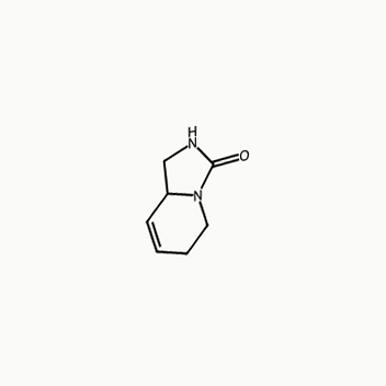 O=C1NCC2C=CCCN12